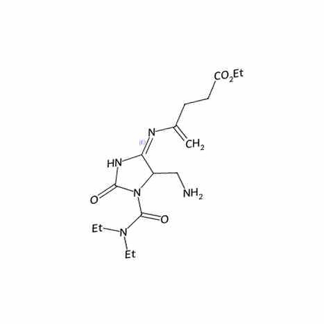 C=C(CCC(=O)OCC)/N=C1/NC(=O)N(C(=O)N(CC)CC)C1CN